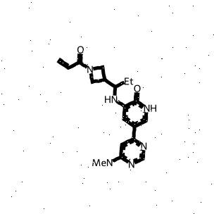 C=CC(=O)N1CC(C(CC)Nc2cc(-c3cc(NC)ncn3)c[nH]c2=O)C1